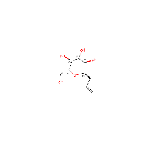 C=CC[C@H]1O[C@H](CO)[C@@H](O)[C@H](O)[C@H]1O